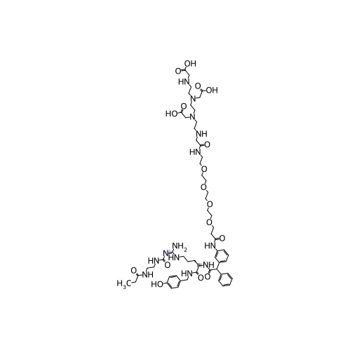 CCC(=O)NCCNC(=O)/N=C(/N)NCCC[C@@H](NC(=O)C(c1ccccc1)c1cccc(NC(=O)CCOCCOCCOCCOCCNC(=O)CNCCN(CCN(CCNCC(=O)O)CC(=O)O)CC(=O)O)c1)C(=O)NCc1ccc(O)cc1